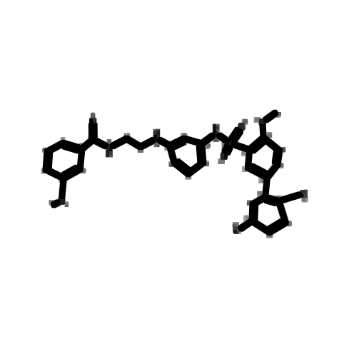 COc1cccc(C(=O)NCCNc2cccc(NS(=O)(=O)c3cc(-c4cc(Cl)ccc4Cl)ccc3OC)c2)c1